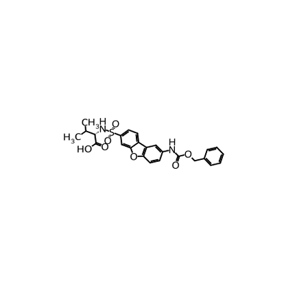 CC(C)[C@H](NS(=O)(=O)c1ccc2c(c1)oc1ccc(NC(=O)OCc3ccccc3)cc12)C(=O)O